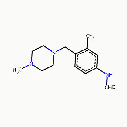 CN1CCN(Cc2ccc(NC=O)cc2C(F)(F)F)CC1